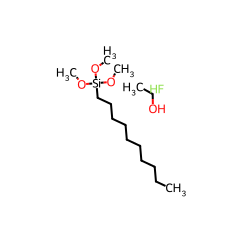 CCCCCCCCCC[Si](OC)(OC)OC.CCO.F